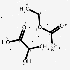 CC(O)C(=O)O.CCOC(C)=O